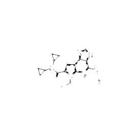 CCn1c(C(=O)N(C2CC2)C2CC2)cc2c3ncnc-3c(N=C=S)n(C)c21